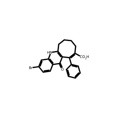 O=C(O)/C1=C(\c2ccccc2)c2c([nH]c3cc(Br)ccc3c2=O)CCCC1